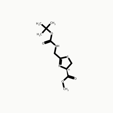 COC(=O)[C@@H]1CSC(CNC(=O)OC(C)(C)C)=N1